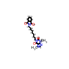 Cn1cnc2c1c(=O)n(CCCCCCCCCN1C(=O)c3ccccc3C1=O)c(=O)n2C